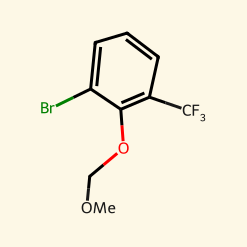 COCOc1c(Br)cccc1C(F)(F)F